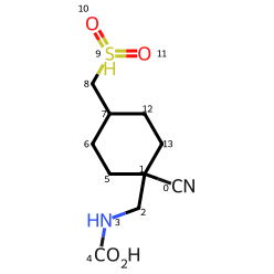 N#CC1(CNC(=O)O)CCC(C[SH](=O)=O)CC1